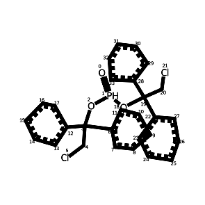 O=[PH](OC(CCl)(c1ccccc1)c1ccccc1)OC(CCl)(c1ccccc1)c1ccccc1